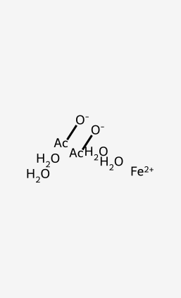 CC(=O)[O-].CC(=O)[O-].O.O.O.O.[Fe+2]